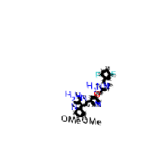 COc1cc2ncc3c(N)nc(-c4cncc(OC[C@@H](N)CN(C)Cc5cc(F)ccc5F)c4)cc3c2cc1OC